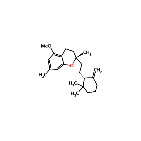 C=C1CCCC(C)(C)[C@@H]1CC[C@@]1(C)CCc2c(OC)cc(C)cc2O1